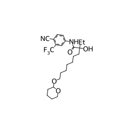 CCC(O)(CCCCCCCOC1CCCCO1)C(=O)Nc1ccc(C#N)c(C(F)(F)F)c1